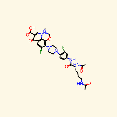 CC(=O)NCCCC[C@@H](NC(C)=O)C(=O)Nc1ccc(N2CCN(c3c(F)cc4c(=O)c(C(=O)O)cn5c4c3OCN5C)CC2)c(F)c1